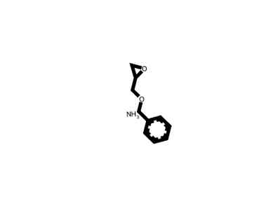 N.c1ccc(COCC2CO2)cc1